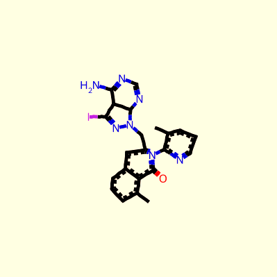 Cc1cccnc1-n1c(CN2N=C(I)C3C(N)=NC=NC32)cc2cccc(C)c2c1=O